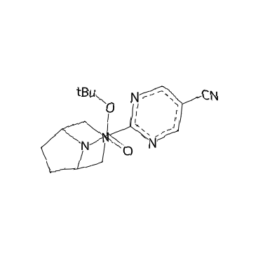 CC(C)(C)OC(=O)N1C2CCC1CN(c1ncc(C#N)cn1)C2